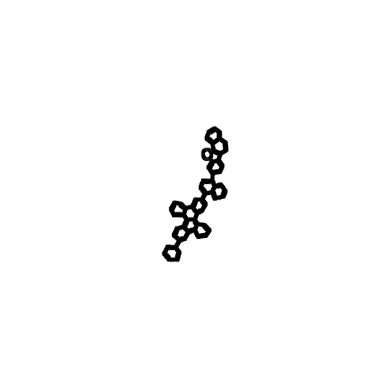 c1ccc(-c2ccc3c(c2)c2ccccc2c2c4ccc(-c5ccc(-c6ccc7c(c6)oc6c8ccccc8ccc76)c6ccccc56)cc4c4ccccc4c32)cc1